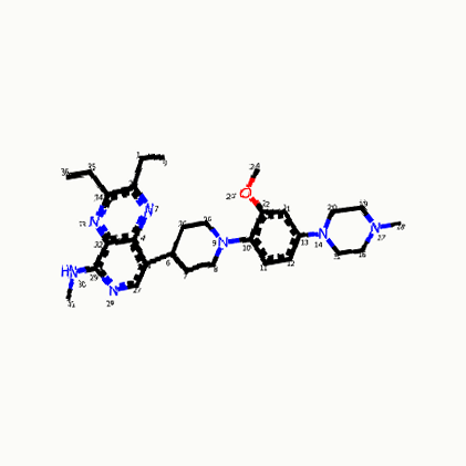 CCc1nc2c(C3CCN(c4ccc(N5CCN(C)CC5)cc4OC)CC3)cnc(NC)c2nc1CC